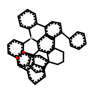 c1ccc(-c2ccc(-c3ccccc3N(c3ccccc3-c3cccc4cccc(C5CCCCC5)c34)c3cccc4sc5ccccc5c34)cc2)cc1